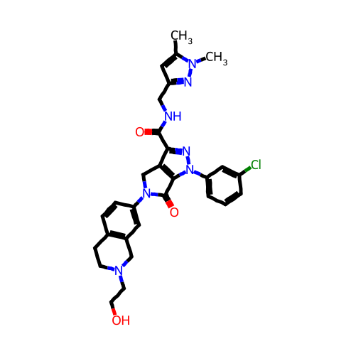 Cc1cc(CNC(=O)c2nn(-c3cccc(Cl)c3)c3c2CN(c2ccc4c(c2)CN(CCO)CC4)C3=O)nn1C